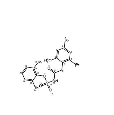 Cc1cc(C(C)C)cc(C(C)C)c1CC(=O)NS(=O)(=O)Oc1c(C(C)C)cccc1C(C)C